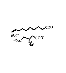 CCCCCCCC/C=C\CCCCCCCC(=O)[O-].CCCCCCCCCCCCCC(=O)[O-].[Na+].[Na+]